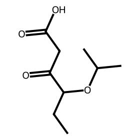 CCC(OC(C)C)C(=O)CC(=O)O